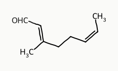 C/C=C\CCC(C)=CC=O